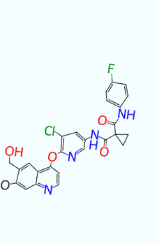 COc1cc2nccc(Oc3ncc(NC(=O)C4(C(=O)Nc5ccc(F)cc5)CC4)cc3Cl)c2cc1CO